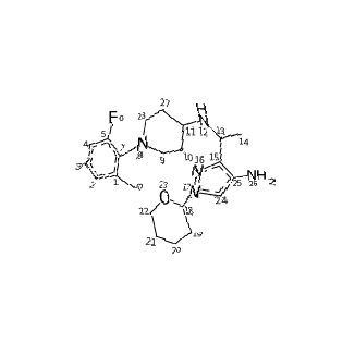 Cc1cccc(F)c1N1CCC(NC(C)c2nn(C3CCCCO3)cc2N)CC1